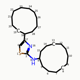 c1sc(NC2CCCCCCCCCCC2)nc1C1CCCCCCCCCC1